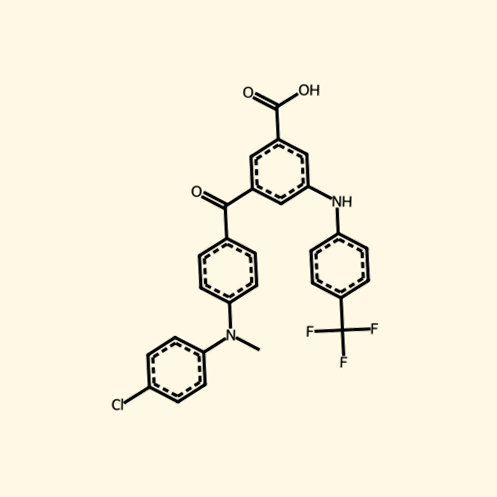 CN(c1ccc(Cl)cc1)c1ccc(C(=O)c2cc(Nc3ccc(C(F)(F)F)cc3)cc(C(=O)O)c2)cc1